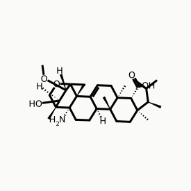 CO[C@H]1[C@H](O)[C@@]2(C)COC13C[C@]31C3=CC[C@@]4(C)[C@H](C(=O)O)[C@@](C)([C@H](C)C(C)C)CC[C@]4(C)[C@H]3CC[C@]12N